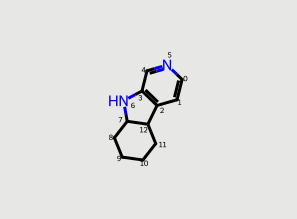 c1cc2c(cn1)NC1CCCCC21